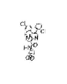 O=C(N[C@H]1CCS(=O)(=O)C1)c1cnn2c(-c3ccc(Cl)cc3F)c(-c3ccccc3Cl)cnc12